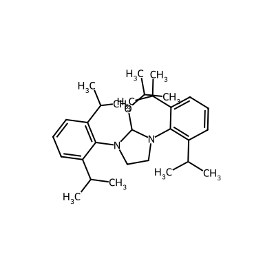 CC(C)OC1N(c2c(C(C)C)cccc2C(C)C)CCN1c1c(C(C)C)cccc1C(C)C